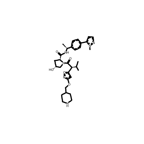 CC(C)[C@H](C(=O)N1C[C@H](O)C[C@H]1C(=O)N[C@@H](C)c1ccc(-c2ccnn2C)cc1)c1cc(OCC2CCNCC2)no1